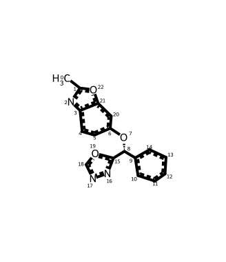 Cc1nc2ccc(O[C@H](c3ccccc3)c3nnco3)cc2o1